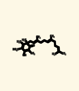 CC(C)=CCC/C(C)=C/CC/C(C)=C/CC1(C)C(=O)C(C)=C(O)C(C(=O)O)=C1C